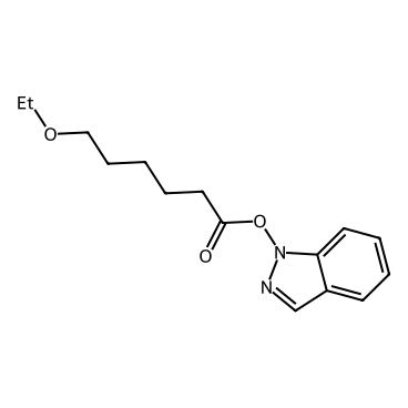 CCOCCCCCC(=O)On1ncc2ccccc21